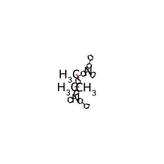 CC(c1ccc(N(c2ccccc2)c2ccc(-c3ccccc3)cc2)cc1)c1ccc(C(C)(C)c2ccc(N(c3ccccc3)c3ccc(-c4ccccc4)cc3)cc2)cc1